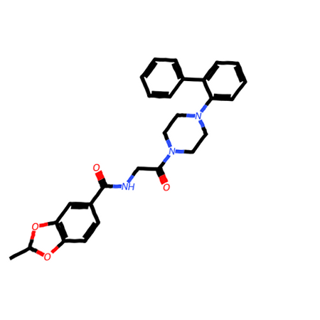 CC1Oc2ccc(C(=O)NCC(=O)N3CCN(c4ccccc4-c4ccccc4)CC3)cc2O1